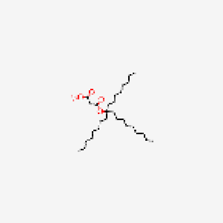 CCCCCCCCCC(CCCCCCCC)(CCCCCCCC)OC(=O)CC(=O)O